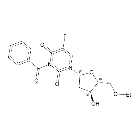 CCOC[C@H]1O[C@@H](n2cc(F)c(=O)n(C(=O)c3ccccc3)c2=O)C[C@@H]1O